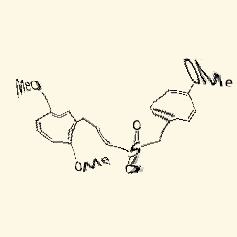 COc1ccc(CS(=O)(=O)C=Cc2cc(OC)ccc2OC)cc1